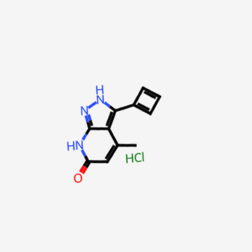 Cc1cc(=O)[nH]c2n[nH]c(C3=CC=C3)c12.Cl